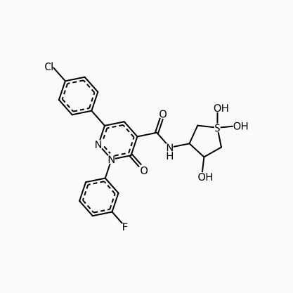 O=C(NC1CS(O)(O)CC1O)c1cc(-c2ccc(Cl)cc2)nn(-c2cccc(F)c2)c1=O